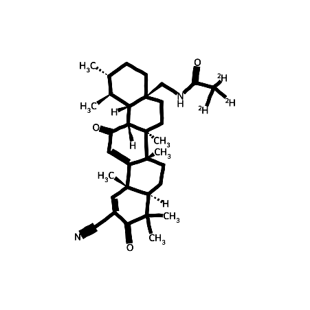 [2H]C([2H])([2H])C(=O)NC[C@]12CC[C@@H](C)[C@H](C)[C@H]1[C@H]1C(=O)C=C3[C@@]4(C)C=C(C#N)C(=O)C(C)(C)[C@@H]4CC[C@@]3(C)[C@]1(C)CC2